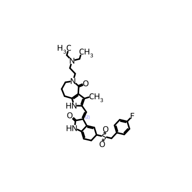 CCN(CC)CCN1CCCc2[nH]c(/C=C3\C(=O)NC4=CCC(S(=O)(=O)Cc5ccc(F)cc5)C=C43)c(C)c2C1=O